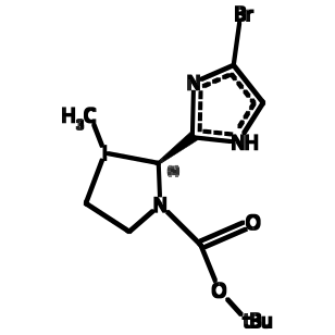 CI1CCN(C(=O)OC(C)(C)C)[C@@H]1c1nc(Br)c[nH]1